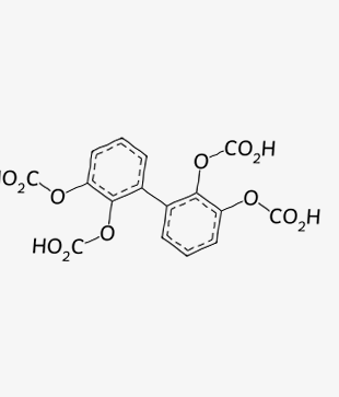 O=C(O)Oc1cccc(-c2cccc(OC(=O)O)c2OC(=O)O)c1OC(=O)O